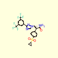 NC(=O)/C(=C/n1cnc(-c2cc(C(F)(F)F)cc(C(F)(F)F)c2)n1)c1ccc(S(=O)(=O)C2CC2)cc1